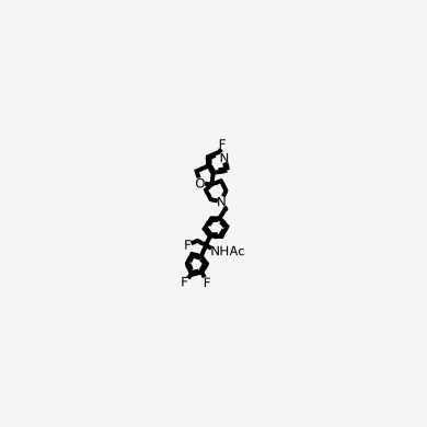 CC(=O)NC(CF)(c1ccc(CN2CCC3(CC2)OCc2cc(F)ncc23)cc1)c1ccc(F)c(F)c1